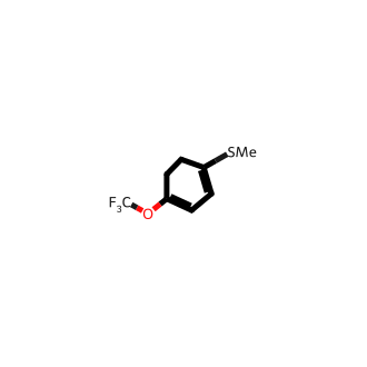 CSC1=CC=C(OC(F)(F)F)CC1